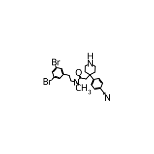 CN(CCc1cc(Br)cc(Br)c1)C(=O)CC1(c2ccc(C#N)cc2)CCNCC1